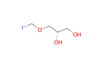 OC[C@H](O)COCI